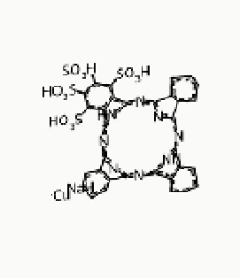 O=S(=O)(O)c1c(S(=O)(=O)O)c(S(=O)(=O)O)c2c3nc4nc(nc5[nH]c(nc6nc(nc([nH]3)c2c1S(=O)(=O)O)-c1ccccc1-6)c1ccccc51)-c1ccccc1-4.[Cu].[NaH]